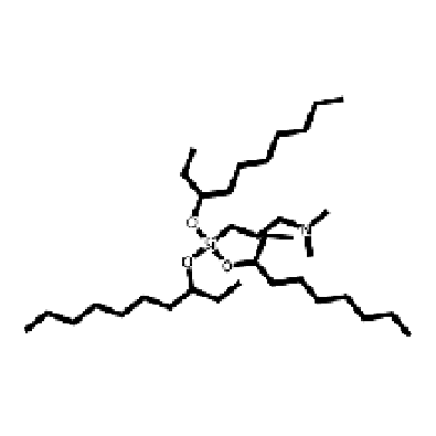 CCCCCCCC(CC)O[Si](CCCN(C)C)(OC(CC)CCCCCCC)OC(CC)CCCCCCC